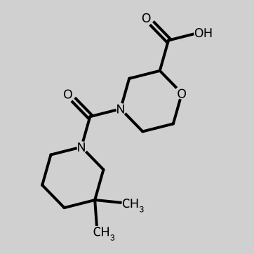 CC1(C)CCCN(C(=O)N2CCOC(C(=O)O)C2)C1